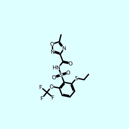 CCSc1cccc(OC(F)(F)F)c1S(=O)(=O)NC(=O)c1noc(C)n1